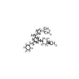 CC(C)c1cnc(Nc2nc(SCc3ccccc3)nc(N3CCN(C)CC3)n2)s1